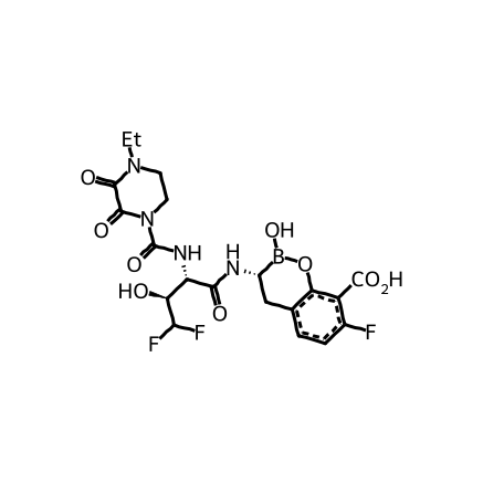 CCN1CCN(C(=O)N[C@H](C(=O)N[C@H]2Cc3ccc(F)c(C(=O)O)c3OB2O)[C@H](O)C(F)F)C(=O)C1=O